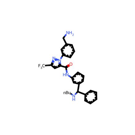 CCCCNC(c1ccccc1)c1cccc(NC(=O)c2cc(C(F)(F)F)nn2-c2cccc(CN)c2)c1